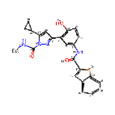 CCNC(=O)n1nc(-c2cc(NC(=O)c3cc4ccccc4s3)ccc2O)cc1C1CC1